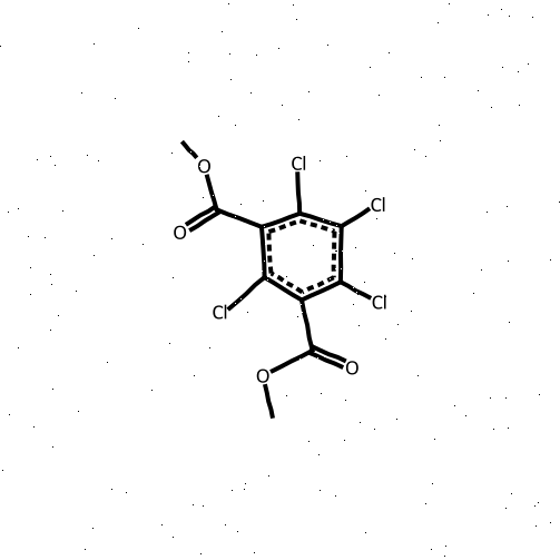 COC(=O)c1c(Cl)c(Cl)c(Cl)c(C(=O)OC)c1Cl